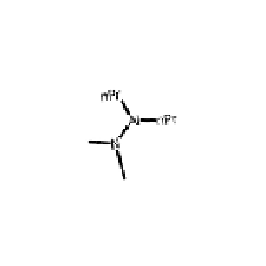 CC[CH2][Al]([CH2]CC)[N](C)C